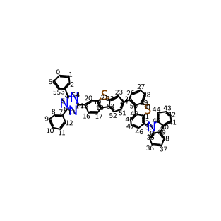 c1ccc(-c2nc(-c3ccccc3)nc(-c3ccc4c(c3)sc3cc(-c5cccc6sc7c(-n8c9ccccc9c9ccccc98)cccc7c56)ccc34)n2)cc1